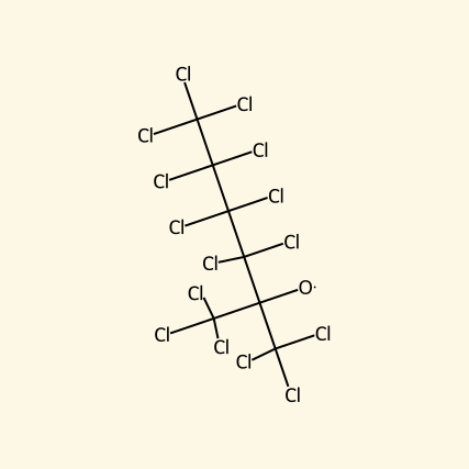 [O]C(C(Cl)(Cl)Cl)(C(Cl)(Cl)Cl)C(Cl)(Cl)C(Cl)(Cl)C(Cl)(Cl)C(Cl)(Cl)Cl